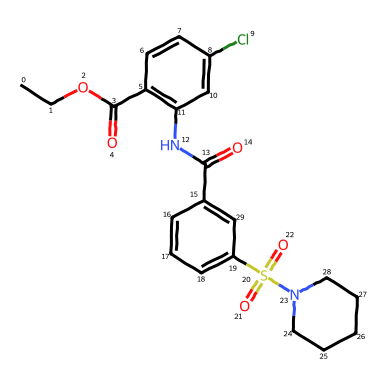 CCOC(=O)c1ccc(Cl)cc1NC(=O)c1cccc(S(=O)(=O)N2CCCCC2)c1